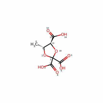 C[C@H]1OC(C(=O)O)(C(=O)O)O[C@@H]1C(=O)O